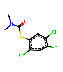 CN(C)C(=O)Sc1cc(Cl)c(Cl)cc1Cl